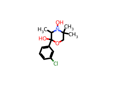 CC1N(O)C(C)(C)COC1(O)c1cccc(Cl)c1